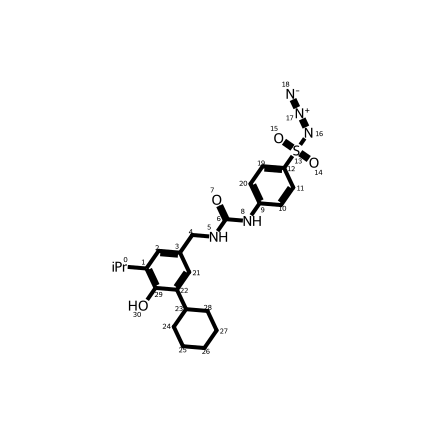 CC(C)c1cc(CNC(=O)Nc2ccc(S(=O)(=O)N=[N+]=[N-])cc2)cc(C2CCCCC2)c1O